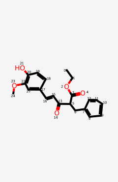 CCOC(=O)C(Cc1ccccc1)C(=O)C=Cc1ccc(O)c(OC)c1